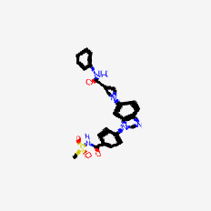 CS(=O)(=O)NC(=O)c1ccc(-n2cnc3ccc(N4CC(C(=O)Nc5ccccc5)C4)cc32)cc1